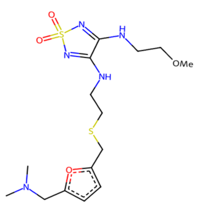 COCCNC1=NS(=O)(=O)N=C1NCCSCc1ccc(CN(C)C)o1